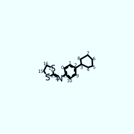 c1cc(C2CCCCC2)ccc1N=C1SCCS1